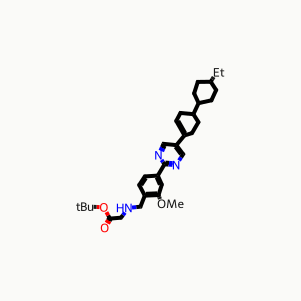 CCC1CCC(C2CC=C(c3cnc(-c4ccc(CNCC(=O)OC(C)(C)C)c(OC)c4)nc3)CC2)CC1